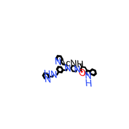 CC(=O)NC(Cc1c[nH]c2ccccc12)C(=O)N1CCC(N(CCc2ccccn2)Cc2cccc(CNCc3ccccn3)c2)CC1